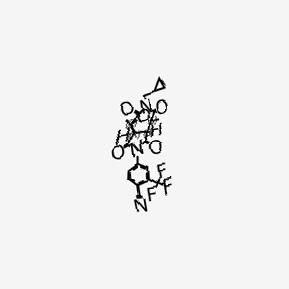 C[C@]12O[C@](C)(C(=O)N(CC3CC3)C1=O)[C@H]1C(=O)N(c3ccc(C#N)c(C(F)(F)F)c3)C(=O)[C@H]12